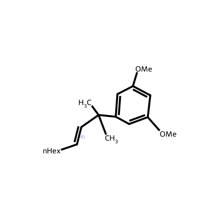 CCCCCC/C=C/C(C)(C)c1cc(OC)cc(OC)c1